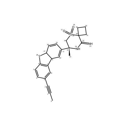 CC#Cc1ccc2c(c1)C1C=C([C@]3(C)CS(=O)(=O)C4(CCC4)C(=N)N3)C=CC1S2